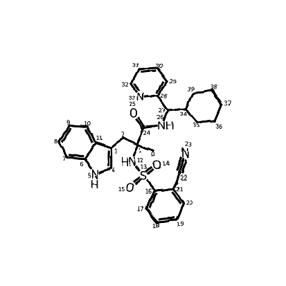 CC(Cc1c[nH]c2ccccc12)(NS(=O)(=O)c1ccccc1C#N)C(=O)NC(c1ccccn1)C1CCCCC1